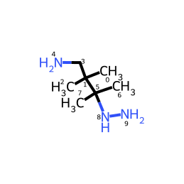 CC(C)(CN)C(C)(C)NN